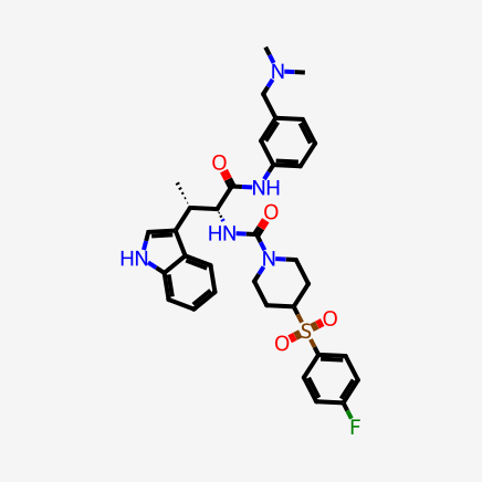 C[C@@H](c1c[nH]c2ccccc12)[C@@H](NC(=O)N1CCC(S(=O)(=O)c2ccc(F)cc2)CC1)C(=O)Nc1cccc(CN(C)C)c1